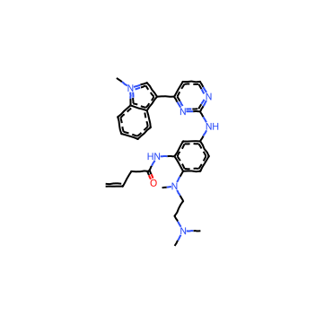 C=CCC(=O)Nc1cc(Nc2nccc(-c3cn(C)c4ccccc34)n2)ccc1N(C)CCN(C)C